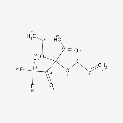 C=CCOC(OCC)(C(=O)O)C(=O)C(F)(F)F